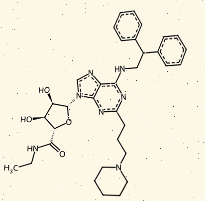 CCNC(=O)[C@H]1O[C@@H](n2cnc3c(NCC(c4ccccc4)c4ccccc4)nc(CCCN4CCCCC4)nc32)[C@H](O)[C@@H]1O